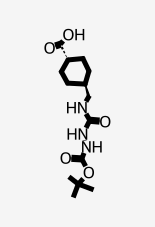 CC(C)(C)OC(=O)NNC(=O)NC[C@H]1CC[C@H](C(=O)O)CC1